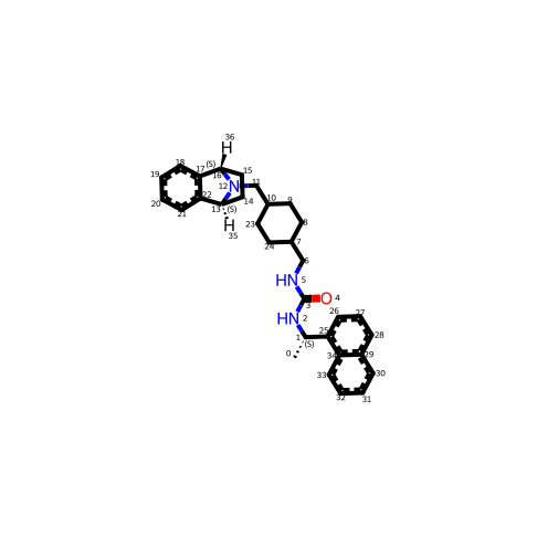 C[C@H](NC(=O)NCC1CCC(CN2[C@H]3CC[C@H]2c2ccccc23)CC1)c1cccc2ccccc12